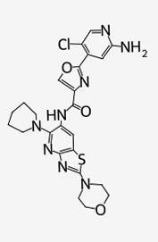 Nc1cc(-c2nc(C(=O)Nc3cc4sc(N5CCOCC5)nc4nc3N3CCCCC3)co2)c(Cl)cn1